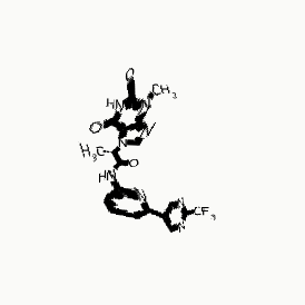 C[C@@H](C(=O)Nc1cccc(-c2cnc(C(F)(F)F)nc2)n1)n1cnc2c1c(=O)[nH]c(=O)n2C